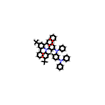 CC(C)(C)c1ccc2c(c1)B1c3ccc(N(c4ccccc4)c4ccccc4)cc3N(c3ccccc3)c3cc(-c4ccccc4)cc(c31)N2c1c(-c2ccccc2)cc(C(C)(C)C)cc1-c1ccccc1